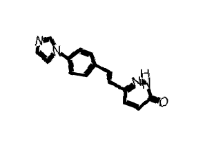 O=c1ccc(C=Cc2ccc(-n3ccnc3)cc2)n[nH]1